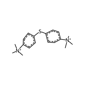 C[N+](C)(C)c1ccc(Sc2ccc([N+](C)(C)C)cc2)cc1